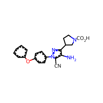 N#Cc1c(N)c(C2CCN(C(=O)O)C2)nn1-c1ccc(Oc2ccccc2)cc1